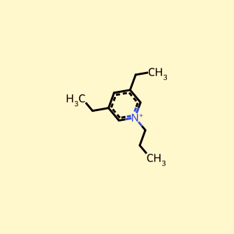 CCC[n+]1cc(CC)cc(CC)c1